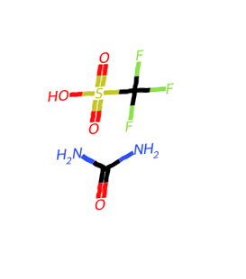 NC(N)=O.O=S(=O)(O)C(F)(F)F